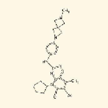 CC(=O)c1c(C)c2cnc(Nc3ccc(N4CC5(CN(C)C5)C4)cc3)nc2n(C2CCCC2)c1=O